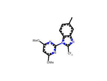 COc1cc(OC)nc(-n2c(C(F)(F)F)nc3cc(C)ccc32)n1